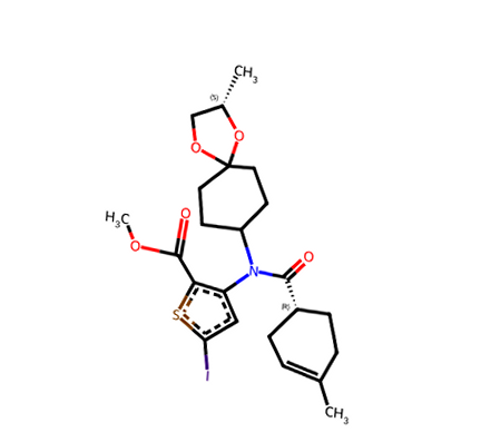 COC(=O)c1sc(I)cc1N(C(=O)[C@H]1CC=C(C)CC1)C1CCC2(CC1)OC[C@H](C)O2